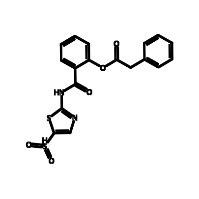 O=C(Cc1ccccc1)Oc1ccccc1C(=O)Nc1ncc([SH](=O)=O)s1